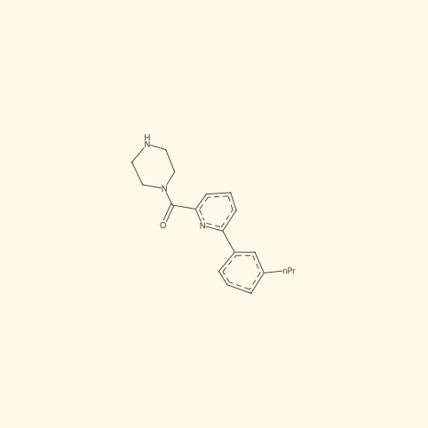 CCCc1cccc(-c2cccc(C(=O)N3CCNCC3)n2)c1